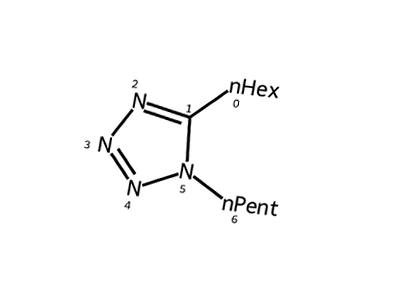 CCCCCCc1nnnn1CCCCC